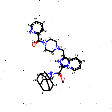 O=C(NC12CC3CC(CC(C3)C1)C2)c1nc(CN2CCN(C(=O)c3ccccn3)CC2)c2ccccn12